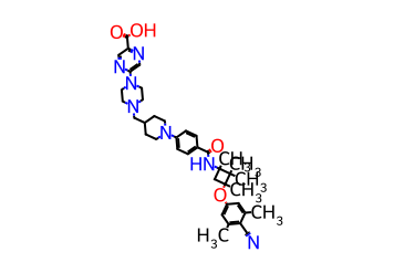 Cc1cc(OC2(C)CC(C)(NC(=O)c3ccc(N4CCC(CN5CCN(c6cnc(C(=O)O)cn6)CC5)CC4)cc3)C2(C)C)cc(C)c1C#N